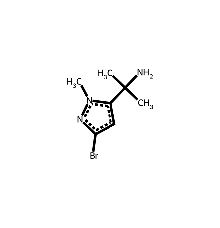 Cn1nc(Br)cc1C(C)(C)N